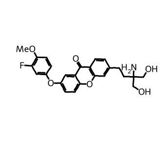 COc1ccc(Oc2ccc3oc4cc(CCC(N)(CO)CO)ccc4c(=O)c3c2)cc1F